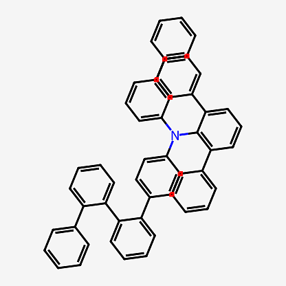 c1ccc(-c2cccc(N(c3ccc(-c4ccccc4-c4ccccc4-c4ccccc4)cc3)c3c(-c4ccccc4)cccc3-c3ccccc3)c2)cc1